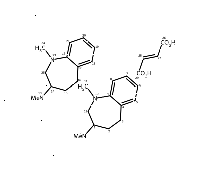 CNC1CCc2ccccc2N(C)C1.CNC1CCc2ccccc2N(C)C1.O=C(O)C=CC(=O)O